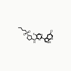 CCCCS(=O)(=O)N1CCC(Nc2nc(-c3c[nH]c4ncc(Cl)cc34)ncc2F)C1